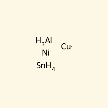 [AlH3].[Cu].[Ni].[SnH4]